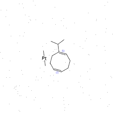 CC(C)/C1=C/CC/C=C\CC1.[CH3][Pt][CH3]